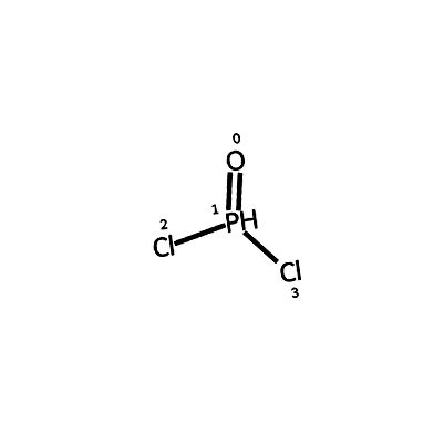 O=[PH](Cl)Cl